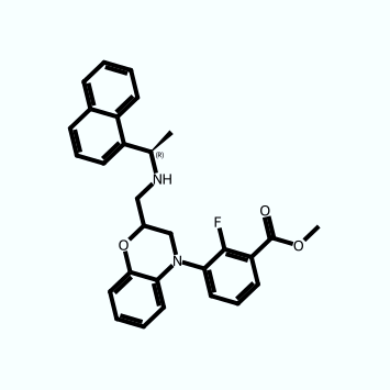 COC(=O)c1cccc(N2CC(CN[C@H](C)c3cccc4ccccc34)Oc3ccccc32)c1F